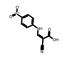 N#C/C(=C/Nc1ccc([N+](=O)[O-])cc1)C(=O)O